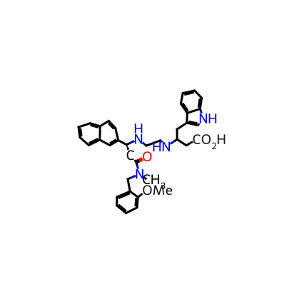 COc1ccccc1CN(C)C(=O)C[C@H](NCCNC(CC(=O)O)Cc1c[nH]c2ccccc12)c1ccc2ccccc2c1